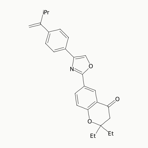 C=C(c1ccc(-c2coc(-c3ccc4c(c3)C(=O)CC(CC)(CC)O4)n2)cc1)C(C)C